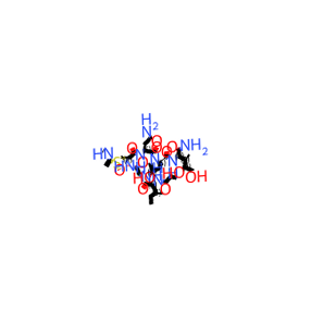 C=C(NC)[S+]([O-])C[C@H](NC(=O)CNC(=O)[C@@H](NC(=O)CC)[C@@H](C)CC)C(=O)N[C@@H](CC(N)=O)C(=O)N1C[C@H](O)C[C@H]1C(=O)N[C@H](C(N)=O)[C@@H](C)[C@@H](O)CO